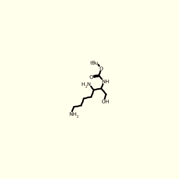 CC(C)(C)OC(=O)N[C](CO)C(N)CCCCN